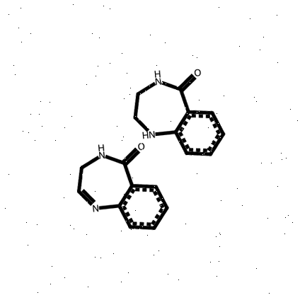 O=C1NCC=Nc2ccccc21.O=C1NCCNc2ccccc21